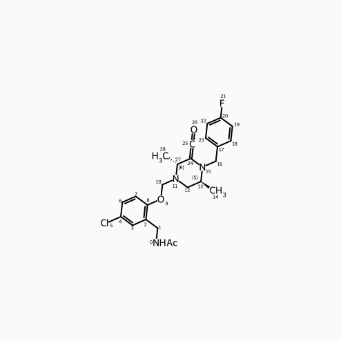 CC(=O)NCc1cc(Cl)ccc1OCN1C[C@H](C)N(Cc2ccc(F)cc2)C(=C=O)[C@H]1C